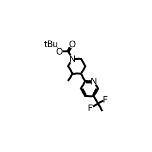 CC1CN(C(=O)OC(C)(C)C)CCC1c1ccc(C(C)(F)F)cn1